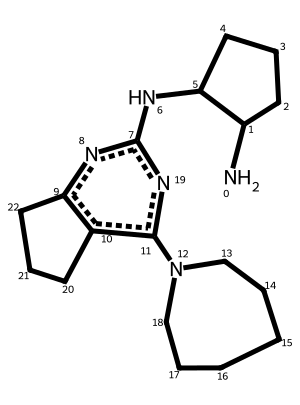 NC1CCCC1Nc1nc2c(c(N3CCCCCC3)n1)CCC2